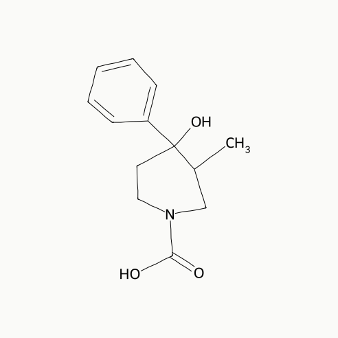 CC1CN(C(=O)O)CCC1(O)c1ccccc1